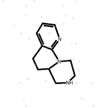 c1cnc2c(c1)CCC1CNCCN21